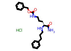 Cl.NC(=O)[C@@H](CCCNC(=O)OCc1ccccc1)NCCCc1ccccc1